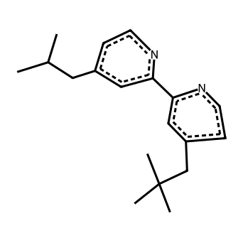 CC(C)Cc1ccnc(-c2cc(CC(C)(C)C)ccn2)c1